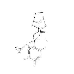 N[C@H](Cc1cc(F)c(F)cc1F)C1CC2CCC(C1)N2C(=O)CNS(=O)(=O)C1CC1